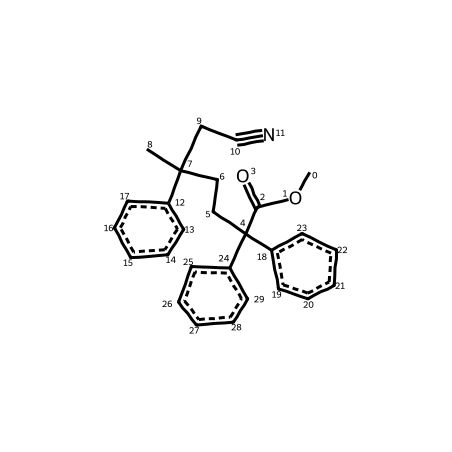 COC(=O)C(CCC(C)(CC#N)c1ccccc1)(c1ccccc1)c1ccccc1